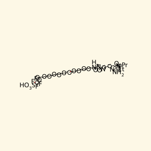 CCCN(OCC)C(=O)C1=Cc2ccc(-c3ccc(C(=O)N4CCC4C(=O)NCCOCCOCCOCCOCCOCCOCCOCCOCCOCCOCCC(=O)Oc4c(F)c(F)c(S(=O)(=O)O)c(F)c4F)nc3)cc2N=C(N)C1